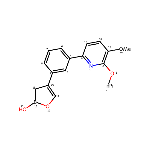 CCCOc1nc(-c2cccc(C3=COB(O)C3)c2)ccc1OC